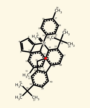 [CH2]=[Zr]([C]1=CC=CC1)([c]1ccc(C)cc1)([c]1ccc(C)cc1)[c]1c(C(C)(C)C)ccc2c1Cc1cc(C(C)(C)C)ccc1-2